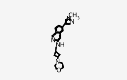 Cn1cc(-c2ccc3cnc(NCC4CC(N5CCOCC5)C4)cc3c2)cn1